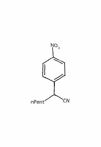 CCCCCC(C#N)c1ccc([N+](=O)[O-])cc1